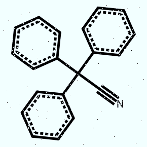 N#CC(c1ccccc1)(c1ccccc1)c1ccccc1